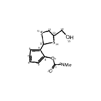 CNC(=O)Oc1ccccc1C1SCC(CO)S1